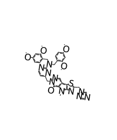 COc1ccc(CN(Cc2ccc(OC)cc2OC)c2nccc(Cn3ncc4c5sc(Cn6cncn6)nc5n(C)c4c3=O)n2)c(OC)c1